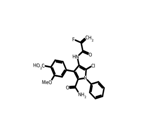 C=C(F)C(=O)Nc1c(-c2ccc(C(=O)O)c(OC)c2)c(C(N)=O)n(-c2ccccc2)c1Cl